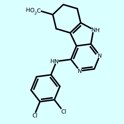 O=C(O)C1CCc2[nH]c3ncnc(Nc4ccc(Cl)c(Cl)c4)c3c2C1